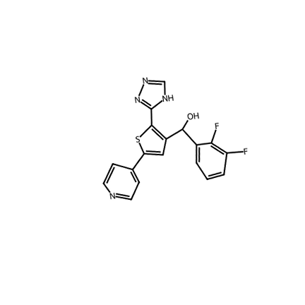 OC(c1cc(-c2ccncc2)sc1-c1nnc[nH]1)c1cccc(F)c1F